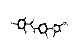 Cc1nc(C(F)(F)F)cn1-c1ccc(NC(=O)c2c(F)cc(F)cc2F)cc1F